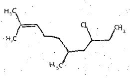 CCC(Cl)CC(C)CCC=C(C)C